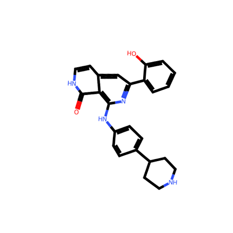 O=c1[nH]ccc2cc(-c3ccccc3O)nc(Nc3ccc(C4CCNCC4)cc3)c12